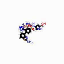 Nc1nc2c(-c3ccc(S(=O)(=O)N[C@@H]4CN[C@@H](CO)C4)c(S(N)(=O)=O)c3-c3nnn[nH]3)cccc2s1